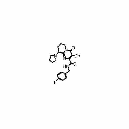 O=C(NCc1ccc(F)cc1)c1nc2n(c(=O)c1O)CCCC2N1CCCC1